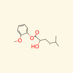 COc1ccccc1OC(=O)C(O)C[CH]C(C)C